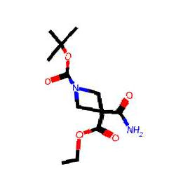 CCOC(=O)C1(C(N)=O)CN(C(=O)OC(C)(C)C)C1